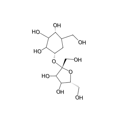 OCC1C[C@H](O[C@]2(CO)O[C@H](CO)C(O)C2O)C(O)C(O)[C@@H]1O